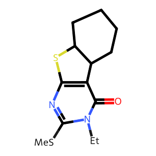 CCn1c(SC)nc2c(c1=O)C1CCCCC1S2